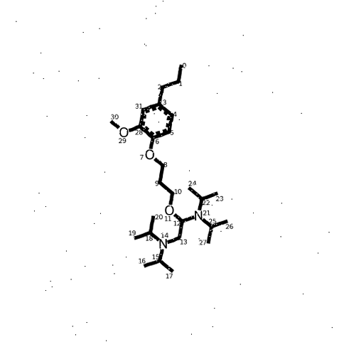 CCCc1ccc(OCCCOC(CN(C(C)C)C(C)C)N(C(C)C)C(C)C)c(OC)c1